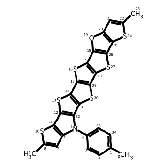 Cc1ccc(-n2c3cc(C)sc3c3sc4c5sc6c7oc8cc(C)sc8c7sc6c5sc4c32)cc1